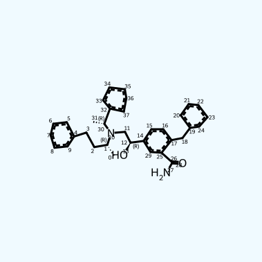 C[C@H](CCc1ccccc1)N(C[C@H](O)c1ccc(Cc2ccccc2)c(C(N)=O)c1)[C@H](C)c1ccccc1